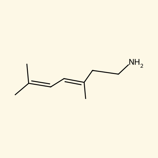 CC(C)=C/C=C(\C)CCN